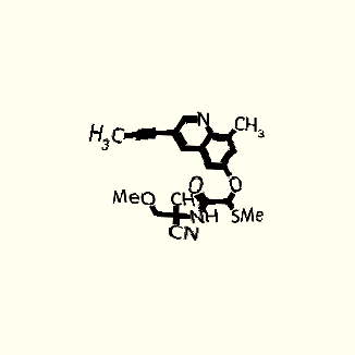 CC#Cc1cnc2c(C)cc(OC(SC)C(=O)NC(C)(C#N)COC)cc2c1